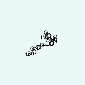 Cn1c(=O)n(C2CCC(=O)NC2=O)c2cc(CCCOC3CCN(C(=O)OC(C)(C)C)CC3)ccc21